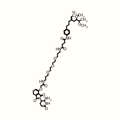 C/C=C(/CCCc1ccc(NC(=O)CCC(=O)NCCCOCCOCCOCCCNC(=O)COC2=CCCC3=C2C(=O)N(C2CCC(=O)NC2N)C3=O)cc1)CC(OC)C(C)OC